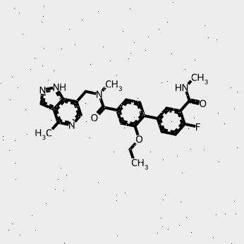 CCOc1cc(C(=O)N(C)Cc2cnc(C)c3cn[nH]c23)ccc1-c1ccc(F)c(C(=O)NC)c1